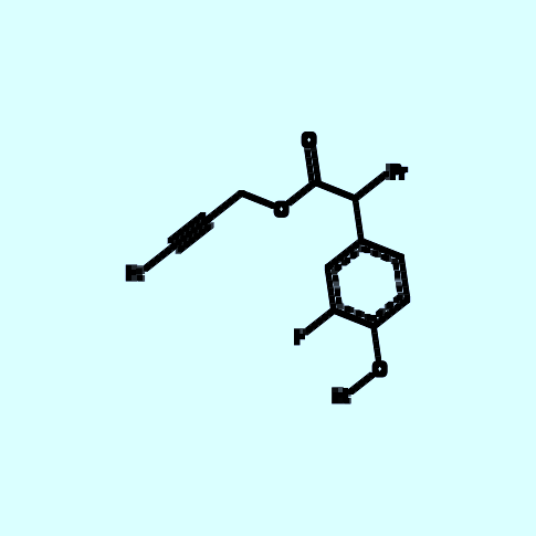 CCC#CCOC(=O)C(c1ccc(OCC)c(F)c1)C(C)C